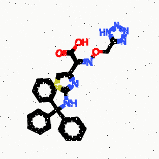 O=C(O)C(=NOCc1nnn[nH]1)c1csc(NC(c2ccccc2)(c2ccccc2)c2ccccc2)n1